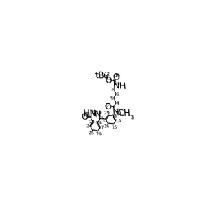 CN(C(=O)CCCCNC(=O)OC(C)(C)C)c1cccc(-c2n[nH]c(=O)c3ccccc23)c1